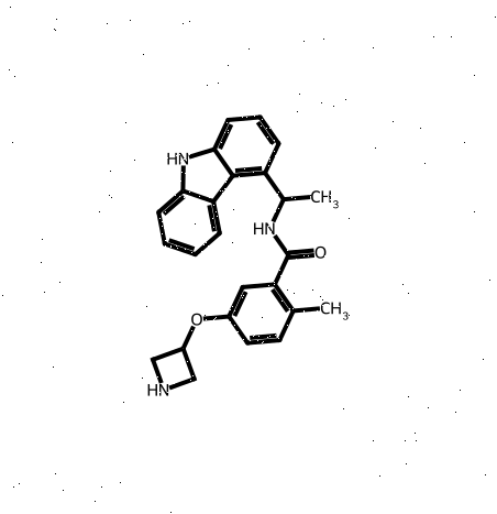 Cc1ccc(OC2CNC2)cc1C(=O)NC(C)c1cccc2[nH]c3ccccc3c12